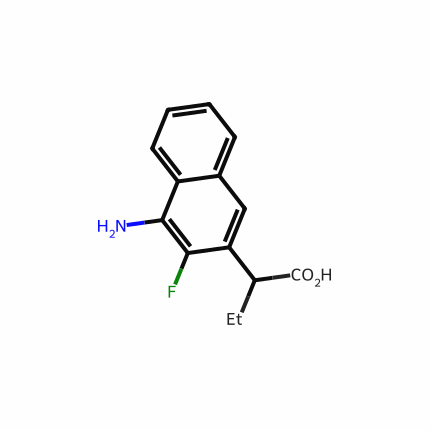 CCC(C(=O)O)c1cc2ccccc2c(N)c1F